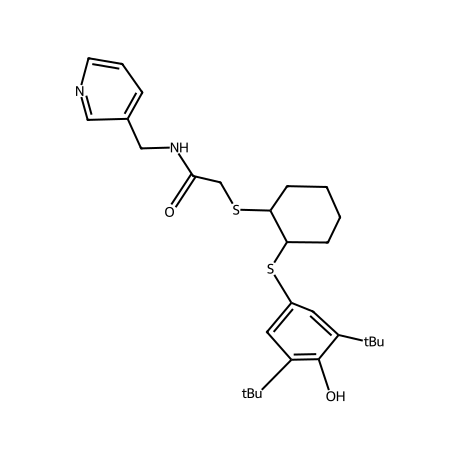 CC(C)(C)c1cc(SC2CCCCC2SCC(=O)NCc2cccnc2)cc(C(C)(C)C)c1O